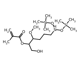 C=C(C)C(=O)OC(CO)C(CCC[SiH](O[Si](C)(C)C)O[Si](C)(C)C)OC